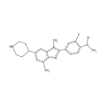 Cc1cc(C2CCNCC2)cc2c1nc(-c1ccc([S+](C)[O-])c(F)c1)n2C